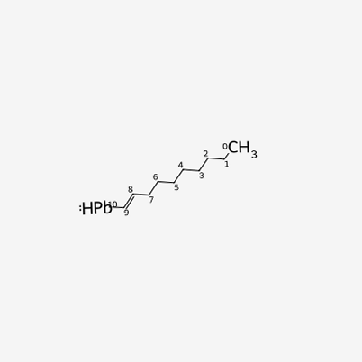 CCCCCCCCC=[CH][PbH]